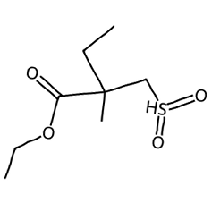 CCOC(=O)C(C)(CC)C[SH](=O)=O